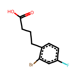 O=C(O)CCCc1ccc(F)cc1Br